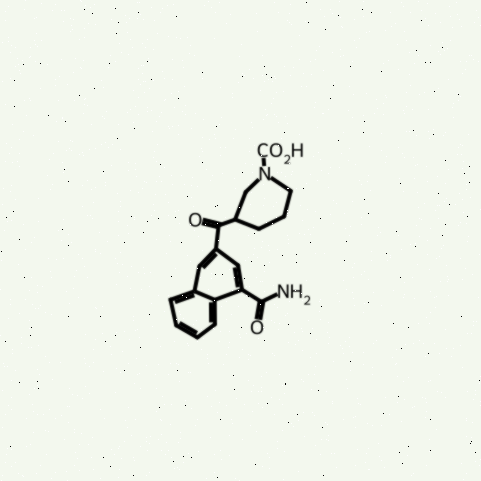 NC(=O)c1cc(C(=O)C2CCCN(C(=O)O)C2)cc2ccccc12